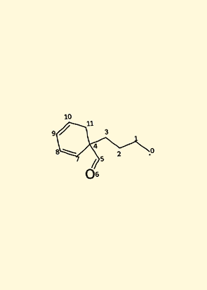 [CH2]CCCC1(C=O)C=CC=CC1